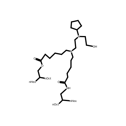 CCCCCCCCC(CCCCCC)CNC(=O)CCCCCN(CCCCCC(=O)OCC(CCCCCC)CCCCCCCC)CCN(CCO)C1CCCC1